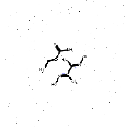 CC(=N\O)/C(C)=N/O.CCOC(N)=O